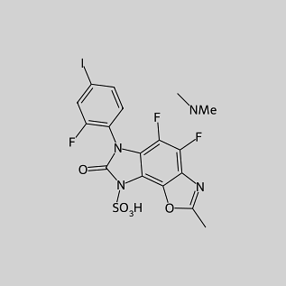 CNC.Cc1nc2c(F)c(F)c3c(c2o1)n(S(=O)(=O)O)c(=O)n3-c1ccc(I)cc1F